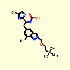 Cc1cc(CC(NC(=O)O)c2nc(Br)c[nH]2)cc2cn(COCC[Si](C)(C)C)nc12